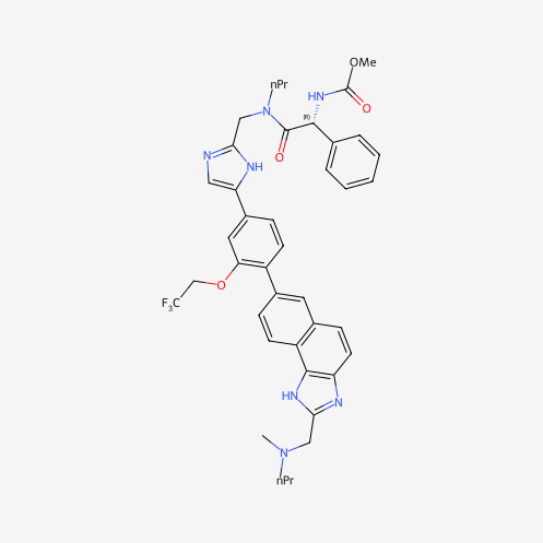 CCCN(C)Cc1nc2ccc3cc(-c4ccc(-c5cnc(CN(CCC)C(=O)[C@H](NC(=O)OC)c6ccccc6)[nH]5)cc4OCC(F)(F)F)ccc3c2[nH]1